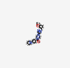 CCOc1cccc(Cn2cc(N3CCN(C(=O)[C@H]4CC[C@H](N5CCCCC5)CC4)CC3)cn2)c1